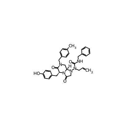 C=CCN(C(=O)NCc1ccccc1)N1CC(=O)N2[C@@H](Cc3ccc(O)cc3)C(=O)N(Cc3ccc(C)cc3)C[C@@H]21